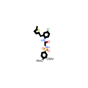 COc1ccc(S(=O)(=O)NCC(=O)Nc2ccc(Cl)cc2Cc2ccc(C)s2)cc1OC